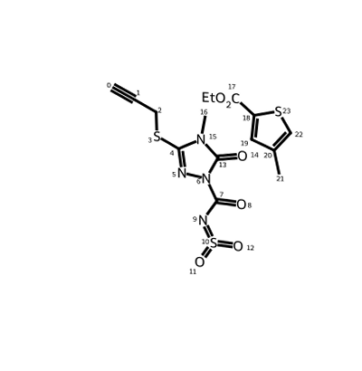 C#CCSc1nn(C(=O)N=S(=O)=O)c(=O)n1C.CCOC(=O)c1cc(C)cs1